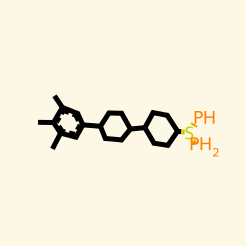 Cc1cc(C2CCC(C3CCC(S(=P)P)CC3)CC2)cc(C)c1C